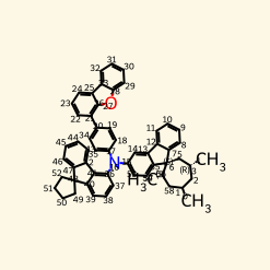 CC1C[C@@H](C)C[C@@]2(c3ccccc3-c3cc(N(c4ccc(-c5cccc6c5oc5ccccc56)cc4)c4cccc5c4-c4ccccc4C54CCCC4)ccc32)[C@@H](C)C1